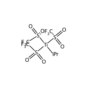 C[CH](C)[Ti]([S](=O)(=O)C(F)(F)F)([S](=O)(=O)C(F)(F)F)[S](=O)(=O)C(F)(F)F